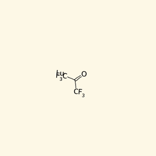 O=C(C(F)(F)F)C(F)(F)F.[Lu]